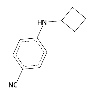 N#Cc1ccc(NC2CCC2)cc1